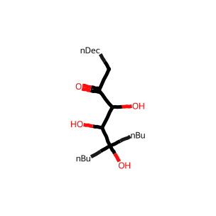 CCCCCCCCCCCC(=O)C(O)C(O)C(O)(CCCC)CCCC